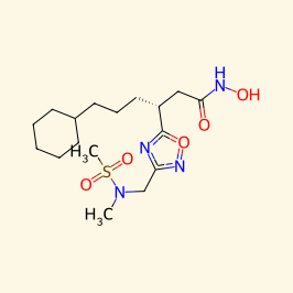 CN(Cc1noc([C@H](CCCC2CCCCC2)CC(=O)NO)n1)S(C)(=O)=O